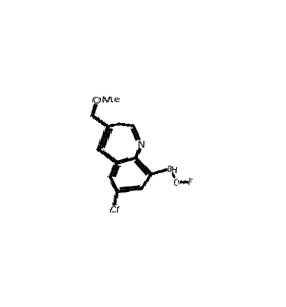 COCc1cnc2c(BOF)cc(Cl)cc2c1